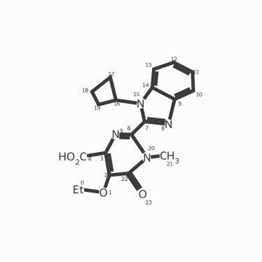 CCOc1c(C(=O)O)nc(-c2nc3ccccc3n2C2CCC2)n(C)c1=O